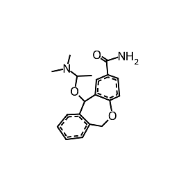 CC(OC1c2ccccc2COc2ccc(C(N)=O)cc21)N(C)C